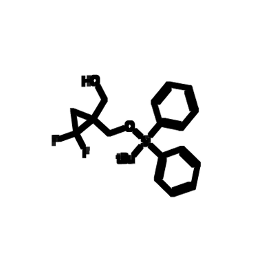 CC(C)(C)[Si](OCC1(CO)CC1(F)F)(c1ccccc1)c1ccccc1